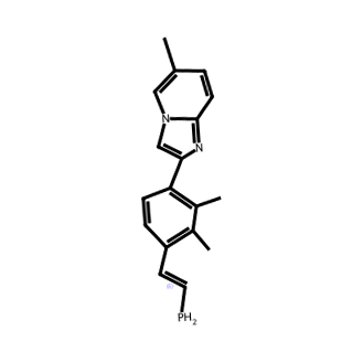 Cc1ccc2nc(-c3ccc(/C=C/P)c(C)c3C)cn2c1